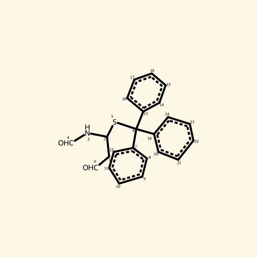 O=CCC(NC=O)SC(c1ccccc1)(c1ccccc1)c1ccccc1